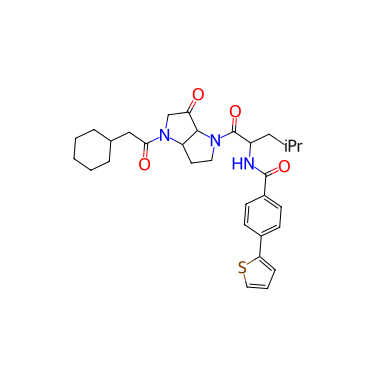 CC(C)CC(NC(=O)c1ccc(-c2cccs2)cc1)C(=O)N1CCC2C1C(=O)CN2C(=O)CC1CCCCC1